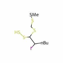 CCCCC(I)C(SS)SCSSC